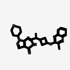 Cc1nc2ccccc2nc1OC1CN(C(C)c2nc3c(cnn3C3CCOCC3)c(=O)[nH]2)C1